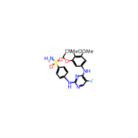 COc1cc(Nc2nc(Nc3ccc(S(N)(=O)=O)cc3)ncc2F)cc(OCC#N)c1OC